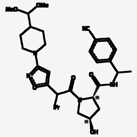 COC(OC)C1CCN(c2cc(C(C(=O)N3C[C@H](O)C[C@H]3C(=O)NC(C)c3ccc(C#N)cc3)C(C)C)on2)CC1